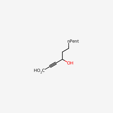 CCCCCCCC(O)C#CC(=O)O